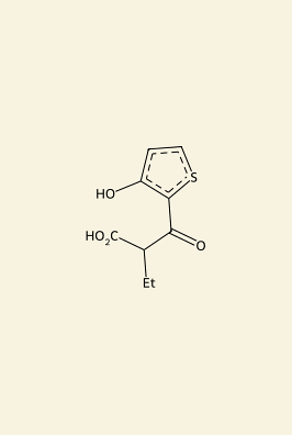 CCC(C(=O)O)C(=O)c1sccc1O